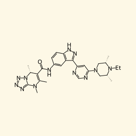 CCN1[C@H](C)CN(c2cc(-c3n[nH]c4ccc(NC(=O)C5=C(C)N(C)c6nnnn6[C@@H]5C)cc34)ncn2)C[C@@H]1C